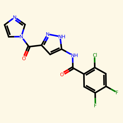 O=C(Nc1cc(C(=O)n2ccnc2)n[nH]1)c1cc(F)c(F)cc1Cl